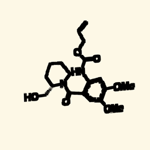 C=CCOC(=O)Nc1cc(OC)c(OC)cc1C(=O)N1CCCC[C@H]1CO